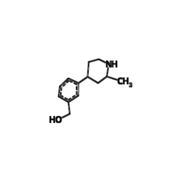 CC1CC(c2cccc(CO)c2)CCN1